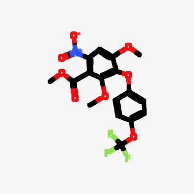 COC(=O)c1c([N+](=O)[O-])cc(OC)c(Oc2ccc(OC(F)(F)F)cc2)c1OC